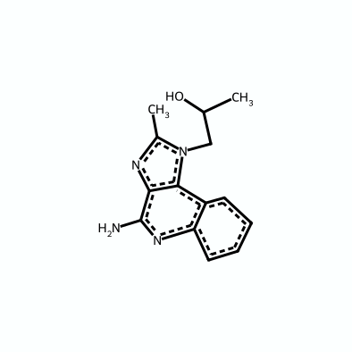 Cc1nc2c(N)nc3ccccc3c2n1CC(C)O